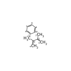 C=C(C)C(=C)C.c1ccccc1